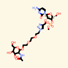 COP(=O)(O)OC1[C@@H](CO)O[C@@H](n2ccc(N)nc2=O)[C@H]1OCc1cn(CCOCCOCCOC2OC(CO)C(O)C(O)C2NC(C)=O)nn1